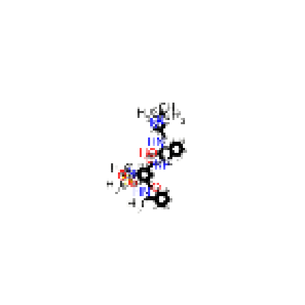 C[C@@H](NC(=O)c1cc(C(=O)N[C@@H](Cc2ccccc2)[C@H](O)CNCc2cnn(C(C)(C)C)c2)cc(N(C)S(C)(=O)=O)c1)c1ccccc1